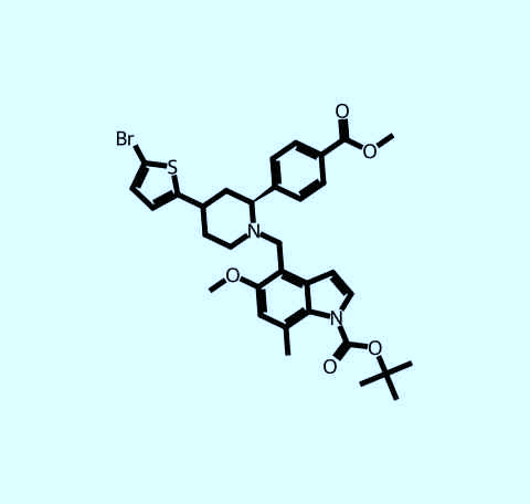 COC(=O)c1ccc([C@@H]2CC(c3ccc(Br)s3)CCN2Cc2c(OC)cc(C)c3c2ccn3C(=O)OC(C)(C)C)cc1